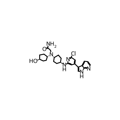 NC(=O)CN([C@H]1CC[C@H](O)CC1)[C@H]1CC[C@H](Nc2cc(-c3c[nH]c4ncccc34)cc(Cl)n2)CC1